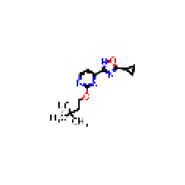 CC(C)(C)CCOc1nccc(-c2noc(C3CC3)n2)n1